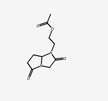 CC(=O)OCCN1C(=O)CN2C(=O)CCC12